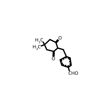 CC1(C)CC(=O)C(Cc2ccc(C=O)cc2)C(=O)C1